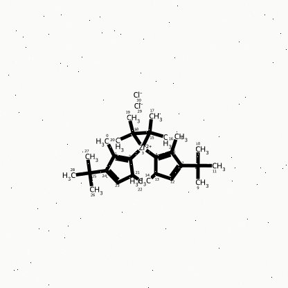 CC1=[C]([Zr+2]2([C]3=C(C)C(C(C)(C)C)=CC3C)[C](C)(C)[C]2(C)C)C(C)C=C1C(C)(C)C.[Cl-].[Cl-]